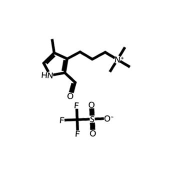 Cc1c[nH]c(C=O)c1CCC[N+](C)(C)C.O=S(=O)([O-])C(F)(F)F